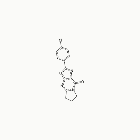 O=c1c2nc(-c3ccc(Cl)cc3)oc2nc2n1CCC2